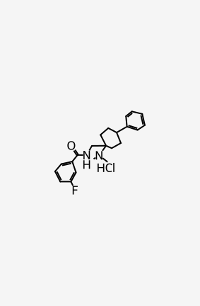 CN(C)C1(CNC(=O)c2cccc(F)c2)CCC(c2ccccc2)CC1.Cl